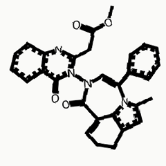 COC(=O)Cc1nc2ccccc2c(=O)n1N1C=C(c2ccccc2)n2c(C)cc3c2C(=CCC3)C1=O